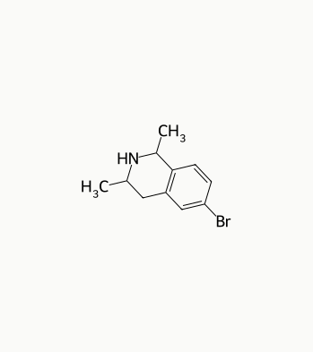 CC1Cc2cc(Br)ccc2C(C)N1